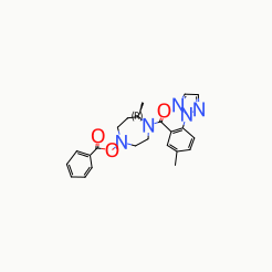 Cc1ccc(-n2nccn2)c(C(=O)N2CCN(OC(=O)c3ccccc3)CC[C@H]2C)c1